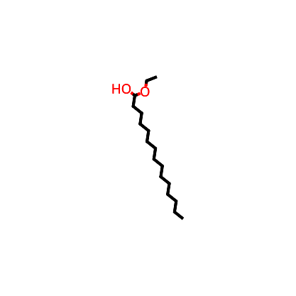 CCCCCCCCCCCCCCC(O)OCC